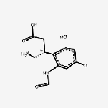 Cl.NC[C@H](CC(=O)O)c1ccc(Cl)cc1NC=O